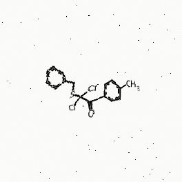 Cc1ccc(C(=O)C(Cl)(Cl)SCc2ccccc2)cc1